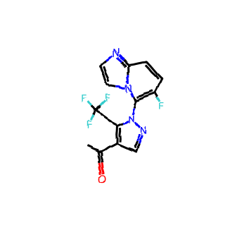 CC(=O)c1cnn(-c2c(F)ccc3nccn23)c1C(F)(F)F